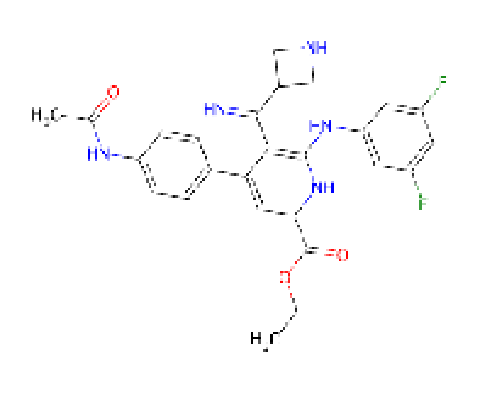 CCOC(=O)C1C=C(c2ccc(NC(C)=O)cc2)C(C(=N)C2CNC2)=C(Nc2cc(F)cc(F)c2)N1